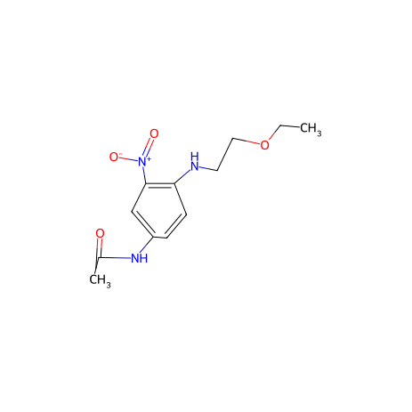 CCOCCNc1ccc(NC(C)=O)cc1[N+](=O)[O-]